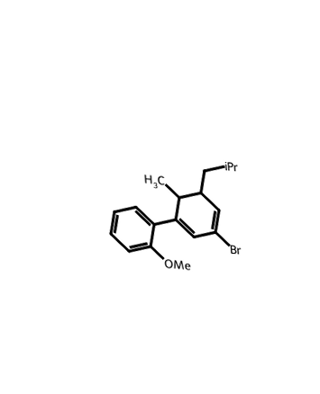 COc1ccccc1C1=CC(Br)=CC(CC(C)C)C1C